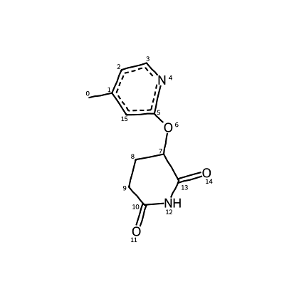 Cc1ccnc(OC2CCC(=O)NC2=O)c1